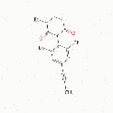 CC#Cc1cc(CC)c(C2C(=O)CCC(CC)C2=O)c(CC)c1